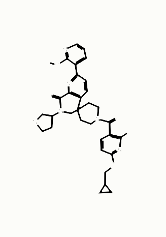 CCOc1ncccc1-c1ccc2c(n1)C(=O)N(C1CCNC1)CC21CCN(C(=O)c2ccc(OCC3CC3)nc2C(F)(F)F)CC1